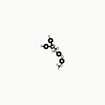 O=C(Nc1ccc(Oc2ccc(OC(F)F)cc2)cc1)N1CC(c2ccc(F)cc2)C(c2ccc(F)cc2)=N1